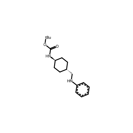 CC(C)(C)OC(=O)N[C@H]1CC[C@H](CNc2ccccc2)CC1